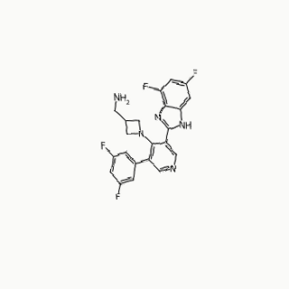 NCC1CN(c2c(-c3cc(F)cc(F)c3)cncc2-c2nc3c(F)cc(F)cc3[nH]2)C1